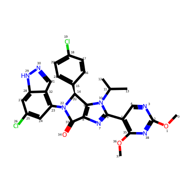 COc1ncc(-c2nc3c(n2C(C)C)[C@H](c2ccc(Cl)cc2)N(c2cc(Cl)cc4[nH]ncc24)C3=O)c(OC)n1